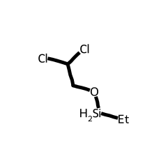 CC[SiH2]OCC(Cl)Cl